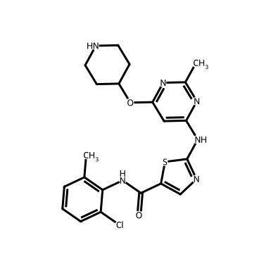 Cc1nc(Nc2ncc(C(=O)Nc3c(C)cccc3Cl)s2)cc(OC2CCNCC2)n1